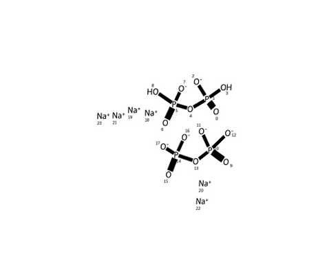 O=P([O-])(O)OP(=O)([O-])O.O=P([O-])([O-])OP(=O)([O-])[O-].[Na+].[Na+].[Na+].[Na+].[Na+].[Na+]